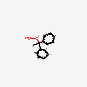 CC(OO)(c1ccccc1)c1ccccc1